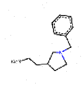 CNCCC1CCN(Cc2ccccc2)C1